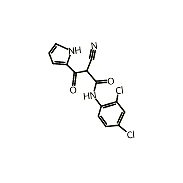 N#CC(C(=O)Nc1ccc(Cl)cc1Cl)C(=O)c1ccc[nH]1